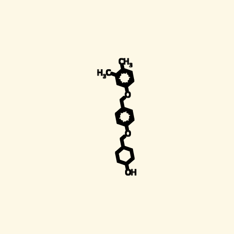 Cc1ccc(OCc2ccc(OCC3CCC(O)CC3)cc2)cc1C